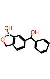 OB1OCc2ccc(C(O)c3ccccc3)cc21